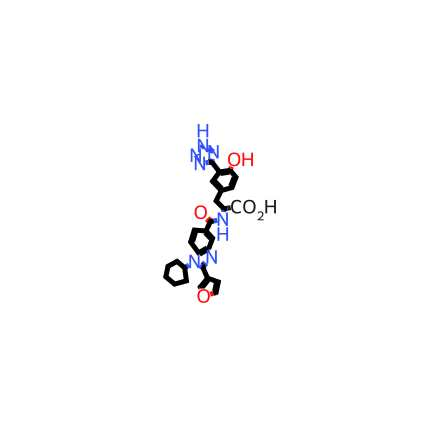 O=C(NC(Cc1ccc(O)c(-c2nn[nH]n2)c1)C(=O)O)c1ccc2c(c1)nc(-c1ccoc1)n2C1CCCCC1